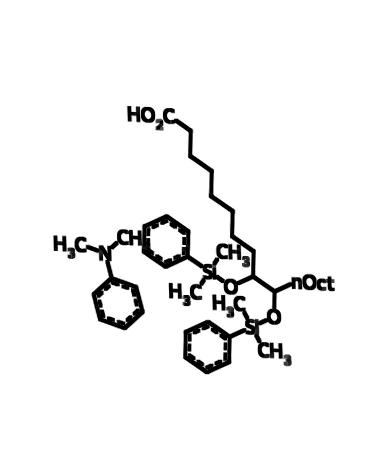 CCCCCCCCC(O[Si](C)(C)c1ccccc1)C(CCCCCCCC(=O)O)O[Si](C)(C)c1ccccc1.CN(C)c1ccccc1